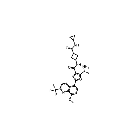 COc1ccc(-c2nc(C(=O)NC3CC(C(=O)NC4CC4)C3)c([C@H](C)N)o2)c2ccc(C(F)(F)F)nc12